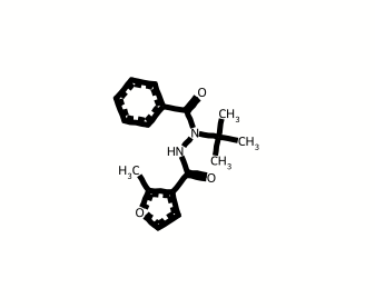 Cc1occc1C(=O)NN(C(=O)c1ccccc1)C(C)(C)C